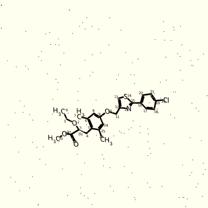 CCO[C@@H](Cc1c(C)cc(OCc2csc(-c3ccc(Cl)cc3)n2)cc1C)C(=O)OC